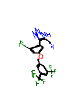 N#Cc1[nH]nnc1-c1cc(F)cc(OCc2cc(C(F)(F)F)cc(C(F)(F)F)c2)c1